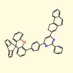 C1=C(c2cc(-c3ccc(-c4cccc5c4Oc4ccccc4C54c5ccccc5-c5ccccc54)cc3)nc(-c3ccccc3)n2)CCc2c1ccc1ccccc21